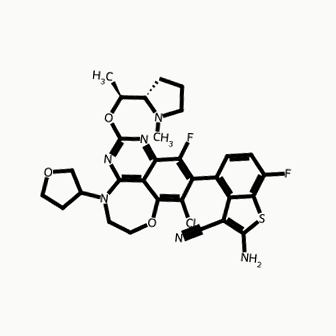 C[C@H](Oc1nc2c3c(c(Cl)c(-c4ccc(F)c5sc(N)c(C#N)c45)c(F)c3n1)OCCN2C1CCOC1)[C@@H]1CCCN1C